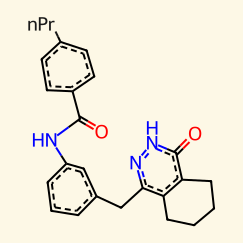 CCCc1ccc(C(=O)Nc2cccc(Cc3n[nH]c(=O)c4c3CCCC4)c2)cc1